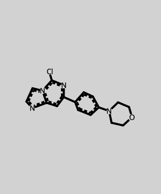 Clc1nc(-c2ccc(N3CCOCC3)cc2)cc2nccn12